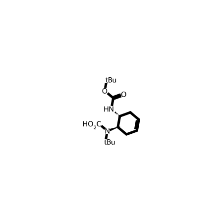 CC(C)(C)OC(=O)N[C@@H]1CC=CC[C@H]1N(C(=O)O)C(C)(C)C